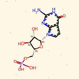 Nc1nc2c(ccn2[C@@H]2O[C@H](COP(=O)(O)O)[C@@H](O)[C@@H]2O)c(=O)[nH]1